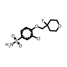 NS(=O)(=O)c1ccc(OCC2(F)CCOCC2)c(Cl)c1